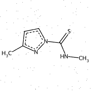 CNC(=S)n1ccc(C)n1